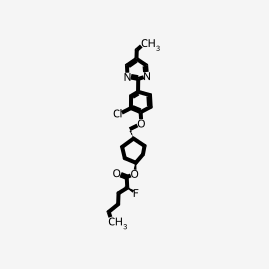 CCCC[C@H](F)C(=O)O[C@H]1CC[C@H](COc2ccc(-c3ncc(CC)cn3)cc2Cl)CC1